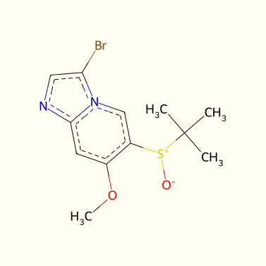 COc1cc2ncc(Br)n2cc1[S+]([O-])C(C)(C)C